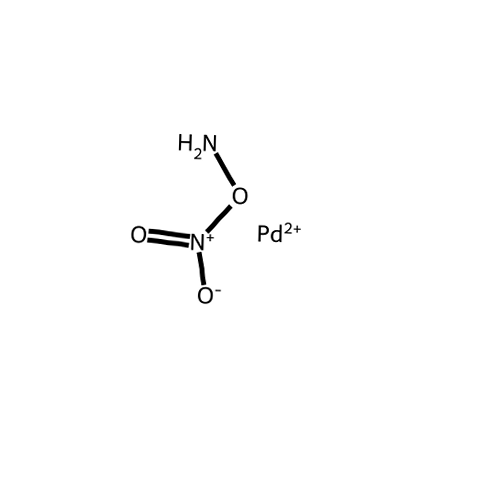 NO[N+](=O)[O-].[Pd+2]